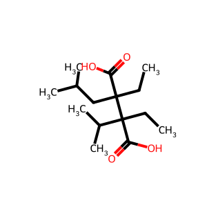 CCC(CC(C)C)(C(=O)O)C(CC)(C(=O)O)C(C)C